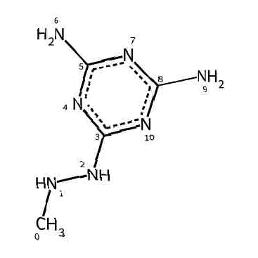 CNNc1nc(N)nc(N)n1